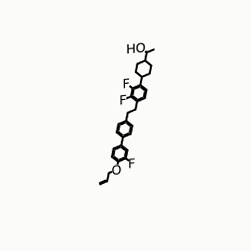 C=CCOc1ccc(-c2ccc(CCc3ccc(C4CCC(C(C)O)CC4)c(F)c3F)cc2)cc1F